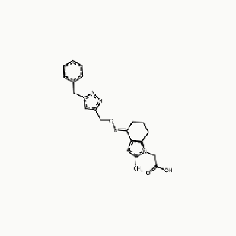 Cc1cc2c(n1CC(=O)O)CCCC2=NOCc1cn(Cc2ccccc2)nn1